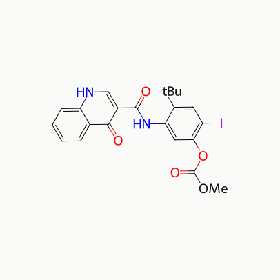 COC(=O)Oc1cc(NC(=O)c2c[nH]c3ccccc3c2=O)c(C(C)(C)C)cc1I